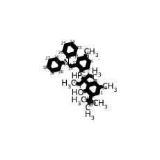 CCC(CC)(Pc1ccc(C)cc1CN(c1ccccc1)c1ccccc1)c1cc(C)cc(C(C)(C)C)c1O